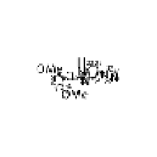 COCc1cccc(OC)c1OCc1nc2cc(-n3ccnc3)ccc2[nH]1